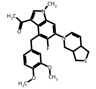 COc1ccc(Cc2c(F)c(N3C=CC4CSCC4C3)cc3c2c(C(C)=O)cn3C)cc1OC